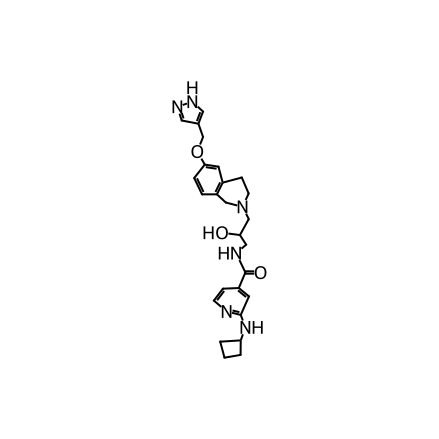 O=C(NCC(O)CN1CCc2cc(OCc3cn[nH]c3)ccc2C1)c1ccnc(NC2CCC2)c1